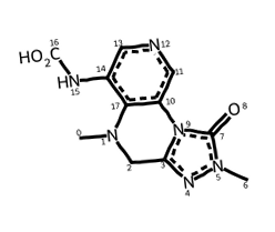 CN1Cc2nn(C)c(=O)n2-c2cncc(NC(=O)O)c21